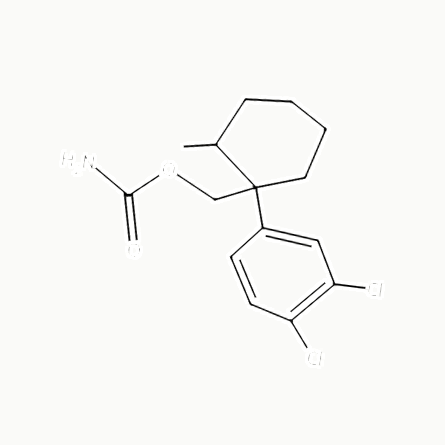 CC1CCCCC1(COC(N)=O)c1ccc(Cl)c(Cl)c1